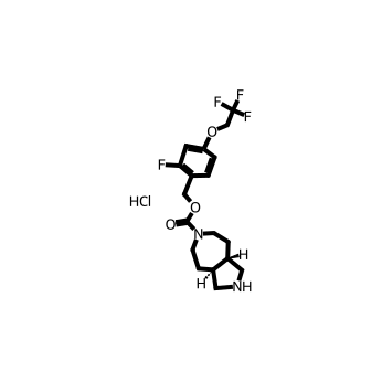 Cl.O=C(OCc1ccc(OCC(F)(F)F)cc1F)N1CC[C@@H]2CNC[C@H]2CC1